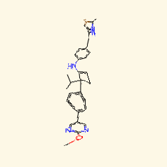 COc1ncc(-c2ccc(C3(C(C)C)CC=C3Nc3ccc(-c4csc(C)n4)cc3)cc2)cn1